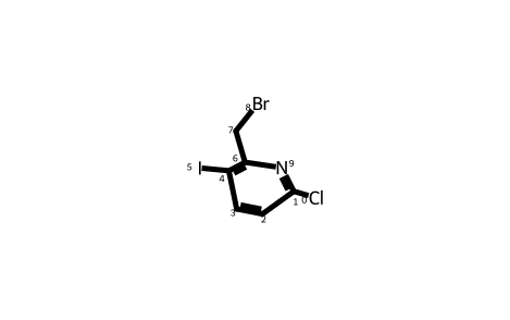 Clc1ccc(I)c(CBr)n1